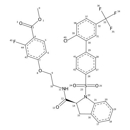 COC(=O)c1ccc(OCCNC(=O)[C@@H]2Cc3ccccc3N2S(=O)(=O)c2ccc(-c3cc(C(F)(F)F)ccc3Cl)cc2)cc1F